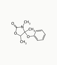 CC1OC(=O)N(C)C1(C)Oc1ccccc1